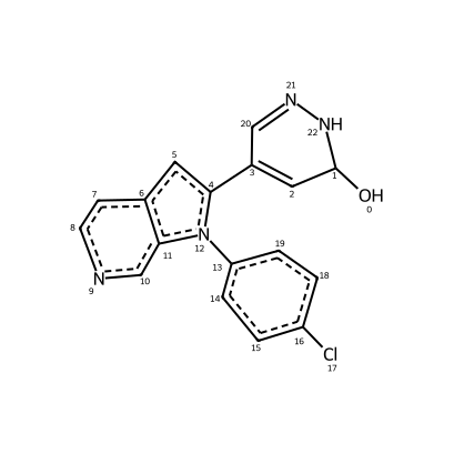 OC1C=C(c2cc3ccncc3n2-c2ccc(Cl)cc2)C=NN1